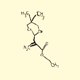 C=C(C(=O)OCC)C1OCC(C)(C)CO1